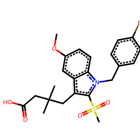 COc1ccc2c(c1)c(CC(C)(C)CC(=O)O)c(S(C)(=O)=O)n2Cc1ccc(Br)cc1